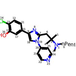 CCCCCN(C)C(C)(C)Cc1nc(-c2ccc(Cl)c(O)c2)cn1-c1ccncc1